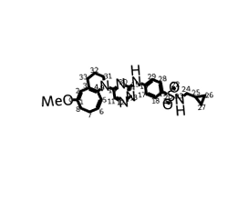 CO/C1=C/C2=C(C=CCC1)N(c1cnnc(Nc3ccc(S(=O)(=O)NCC4CC4)cc3)n1)CCC2